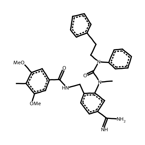 COc1cc(C(=O)NCc2ccc(C(=N)N)cc2N(C)C(=O)N(CCc2ccccc2)c2ccccc2)cc(OC)c1C